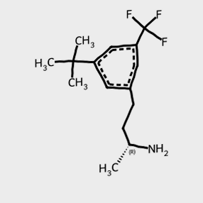 C[C@@H](N)CCc1cc(C(C)(C)C)cc(C(F)(F)F)c1